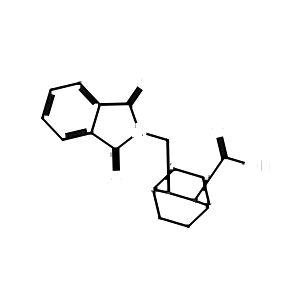 O=C(O)C1C2CCC(CC2)C1CN1C(=O)c2ccccc2C1=O